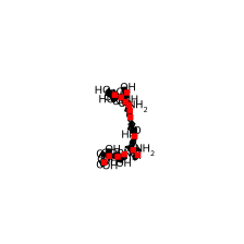 Nc1ncnc2c1c(C#CCNC(=O)CCSSCCCC(N)C(=O)NC(CC(=O)O)C(=O)NC(CC(=O)O)C(=O)O)cn2C1CC(O)C(COP(=O)(O)OP(=O)(O)OP(=O)(O)O)O1